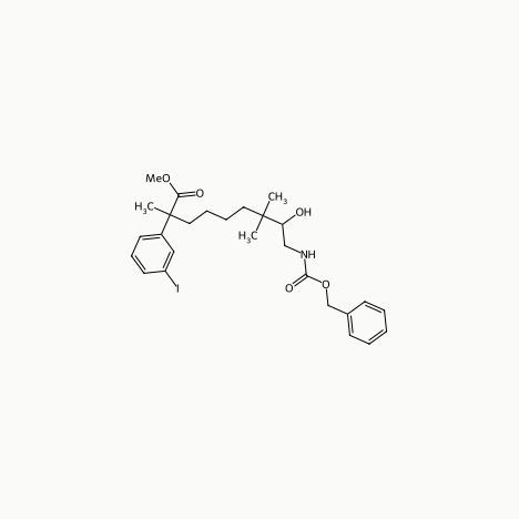 COC(=O)C(C)(CCCCC(C)(C)C(O)CNC(=O)OCc1ccccc1)c1cccc(I)c1